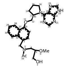 COC(CO)CN(Cc1ccc(OC[C@H]2CCCN2c2ncnc3[nH]cnc23)c2ccccc12)C(C)=O